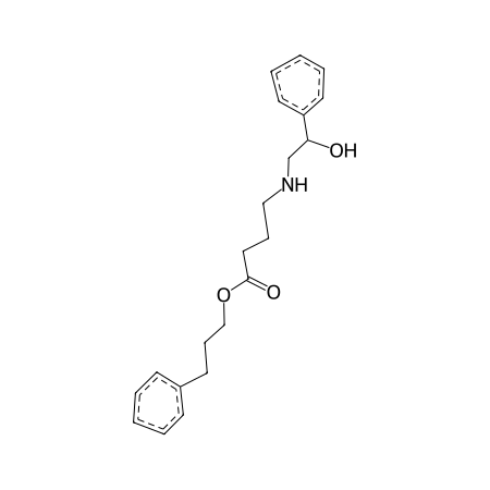 O=C(CCCNCC(O)c1ccccc1)OCCCc1ccccc1